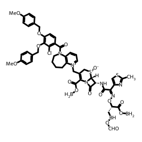 BOC(=O)C1=C(C[n+]2cccc3c2CCCCN3C(=O)c2ccc(OCc3ccc(OC)cc3)c(OCc3ccc(OC)cc3)c2Cl)C[S+]([O-])[C@@H]2[C@H](NC(=O)/C(=N\O[C@@H](CBOC=O)C(=O)OB)c3csc(C)n3)C(=O)N12